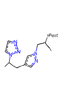 CCCCCC(C)Cn1cc(CC(C)n2ccnn2)cn1